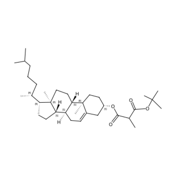 CC(C)CCC[C@@H](C)[C@H]1CC[C@H]2[C@@H]3CC=C4C[C@@H](OC(=O)C(C)C(=O)OC(C)(C)C)CC[C@]4(C)[C@H]3CC[C@]12C